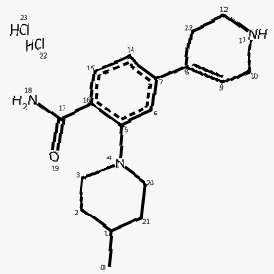 CC1CCN(c2cc(C3=CCNCC3)ccc2C(N)=O)CC1.Cl.Cl